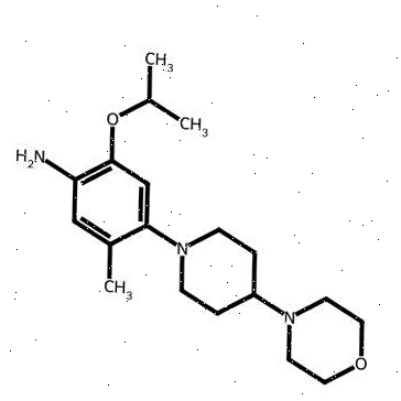 Cc1cc(N)c(OC(C)C)cc1N1CCC(N2CCOCC2)CC1